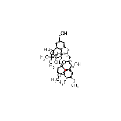 COc1cc([C@@H](O)[C@H](C[C@@H]2Sc3cc(CO)cc(C(=O)O)c3N2O[Si](C)(C)C(C)(C)C)OC2CCCC2)cc(OC)c1C